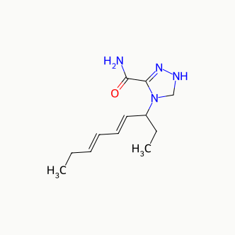 CCC=CC=CC(CC)N1CNN=C1C(N)=O